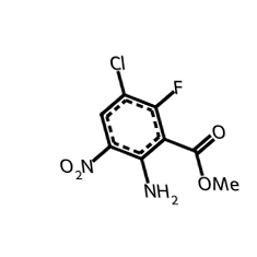 COC(=O)c1c(N)c([N+](=O)[O-])cc(Cl)c1F